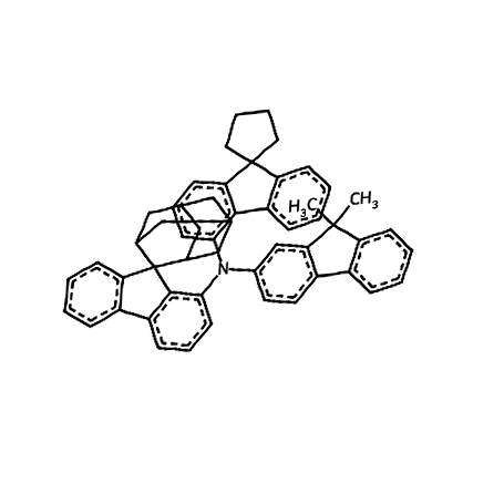 CC1(C)c2ccccc2-c2ccc(N(c3cccc4c3-c3ccccc3C43CCCC3)c3cccc4c3C3(c5ccccc5-4)C4CC5CC(C4)CC3C5)cc21